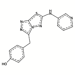 Oc1ccc(Cc2nnc3sc(Nc4cccnc4)nn23)cc1